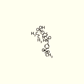 CCS(=O)(=O)c1ccc(CNC(=O)c2nc3c(s2)CN(C(=O)O)[C@H]3C(C)C)cc1